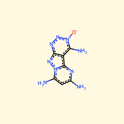 Nc1cc(N)n2nc3nn[n+]([O-])c(N)c3c2n1